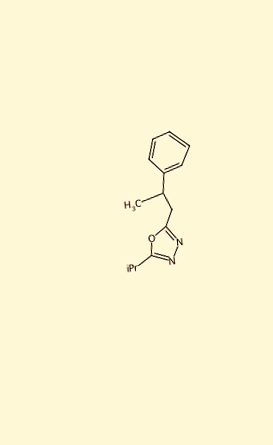 CC(C)c1nnc(CC(C)c2ccccc2)o1